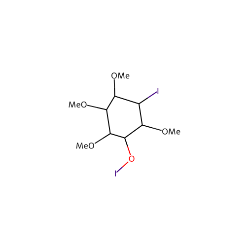 COC1C(I)C(OC)C(OI)C(OC)C1OC